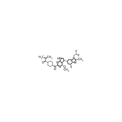 COc1nc(NC2CCC(C(=O)N(C)C)CC2)nc2[nH]cc(-c3cc(F)c4nc(C)n(CC(F)F)c4c3)c12